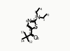 CCN(CC)c1ncc(C(=O)C(C)(C)C)s1